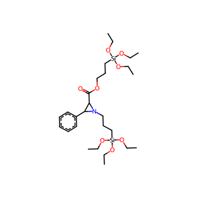 CCO[Si](CCCOC(=O)C1C(c2ccccc2)N1CCC[Si](OCC)(OCC)OCC)(OCC)OCC